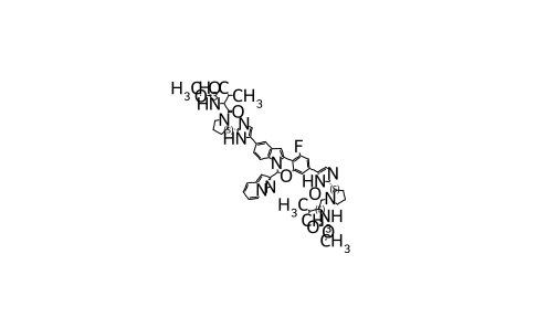 COC(=O)NC(C(=O)N1CCC[C@H]1c1ncc(-c2ccc3c(c2)cc2n3C(c3cc4ccccn4n3)Oc3cc(-c4cnc([C@@H]5CCCN5C(=O)[C@@H](NC(=O)OC)C(C)C)[nH]4)cc(F)c3-2)[nH]1)C(C)C